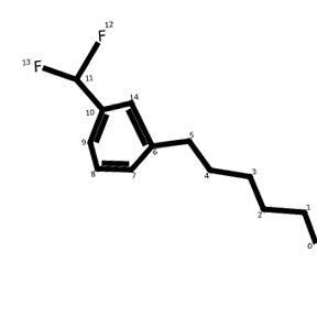 CCCCCCc1cccc(C(F)F)c1